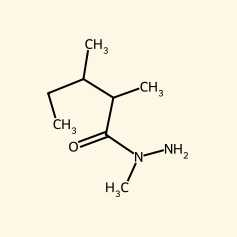 CCC(C)C(C)C(=O)N(C)N